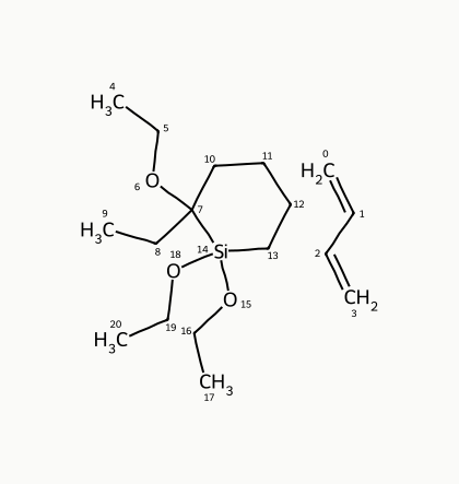 C=CC=C.CCOC1(CC)CCCC[Si]1(OCC)OCC